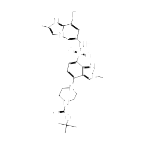 Cc1cn2cc(NS(=O)(=O)c3ccc(N4C[C@@H](C)N(C(=O)OC(C)(C)C)[C@@H](C)C4)c4cn(C)nc34)cc(F)c2n1